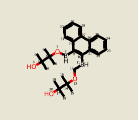 CC(C)(O)C(C)(C)OBc1c(BCOC(C)(C)C(C)(C)O)c2ccccc2c2ccccc12